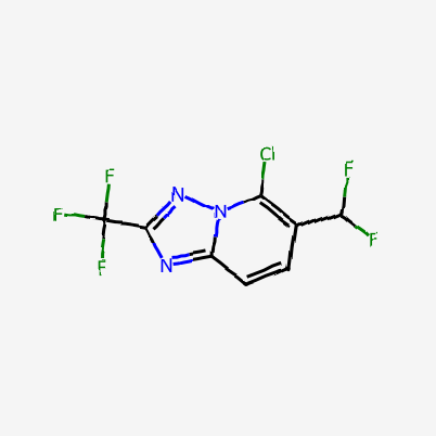 FC(F)c1ccc2nc(C(F)(F)F)nn2c1Cl